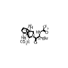 CC(C)(C)[C@H](NC(=O)C(F)(F)F)C(=O)N1C[C@H]2[C@@H]([C@H]1C(=O)O)[C@H]1C=C[C@@H]2C1(F)F